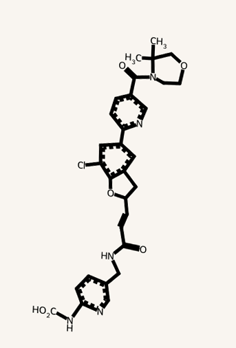 CC1(C)COCCN1C(=O)c1ccc(-c2cc(Cl)c3c(c2)CC(C=CC(=O)NCc2ccc(NC(=O)O)nc2)O3)nc1